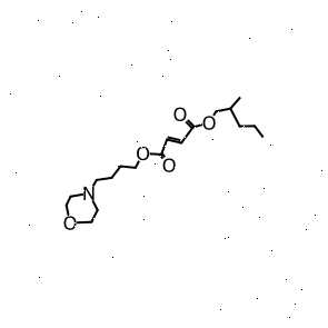 CCCC(C)COC(=O)/C=C/C(=O)OCCCCN1CCOCC1